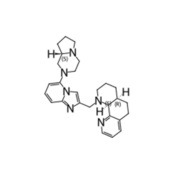 c1cnc2c(c1)CC[C@@H]1CCCN(Cc3cn4c(N5CCN6CCC[C@H]6C5)cccc4n3)[C@H]21